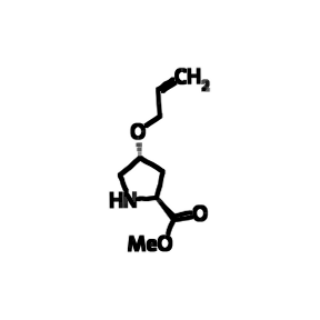 C=CCO[C@H]1CN[C@H](C(=O)OC)C1